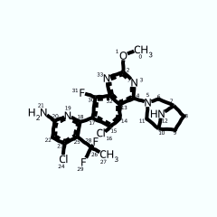 COc1nc(N2CC3CCC(C2)N3)c2cc(Cl)c(-c3nc(N)cc(Cl)c3C(C)(F)F)c(F)c2n1